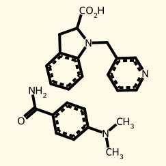 CN(C)c1ccc(C(N)=O)cc1.O=C(O)C1Cc2ccccc2N1Cc1cccnc1